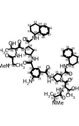 CN[C@@H](C)C(=O)N[C@H](C(=O)N1C[C@@H](NC(=O)c2cc(N)cc(C(=O)N[C@H]3C[C@@H](C(=O)N[C@@H]4CCCc5ccccc54)N(C(=O)[C@@H](NC(=O)[C@H](C)NC)[C@@H](C)O)C3)c2)C[C@H]1C(=O)NC1CCCc2ccccc21)[C@@H](C)O